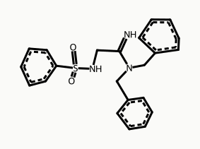 N=C(CNS(=O)(=O)c1ccccc1)N(Cc1ccccc1)Cc1ccccc1